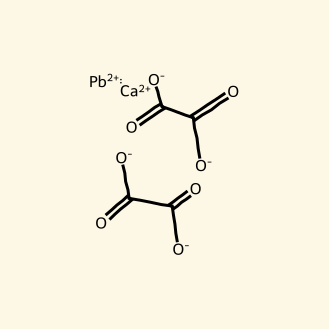 O=C([O-])C(=O)[O-].O=C([O-])C(=O)[O-].[Ca+2].[Pb+2]